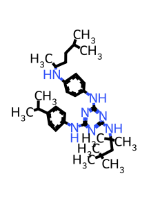 CC(C)CCC(C)Nc1ccc(Nc2nc(Nc3ccc(C(C)C)cc3)nc(NC(C)(C)CC(C)(C)C)n2)cc1